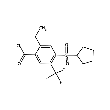 CCc1cc(S(=O)(=O)C2CCCC2)c(C(F)(F)F)cc1C(=O)Cl